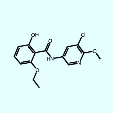 CCOc1cccc(O)c1C(=O)Nc1cnc(OC)c(Cl)c1